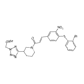 COCn1nnc(C2CCCN(C(=O)C=Cc3ccc(Sc4ccccc4C(C)C)c([N+](=O)[O-])c3)C2)n1